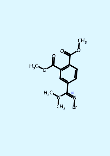 COC(=O)c1ccc(/C(=N/Br)N(C)C)cc1C(=O)OC